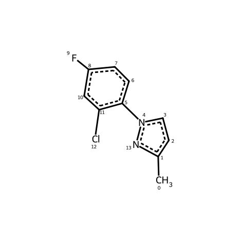 Cc1ccn(-c2ccc(F)cc2Cl)n1